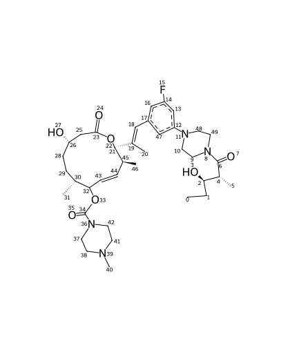 CC[C@@H](O)[C@@H](C)C(=O)N1CCN(c2cc(F)cc(/C=C(\C)[C@H]3OC(=O)C[C@@H](O)CC[C@@H](C)C(OC(=O)N4CCN(C)CC4)/C=C/[C@@H]3C)c2)CC1